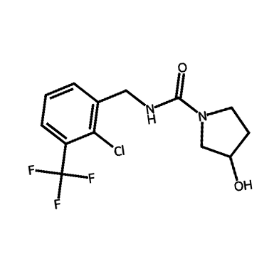 O=C(NCc1cccc(C(F)(F)F)c1Cl)N1CCC(O)C1